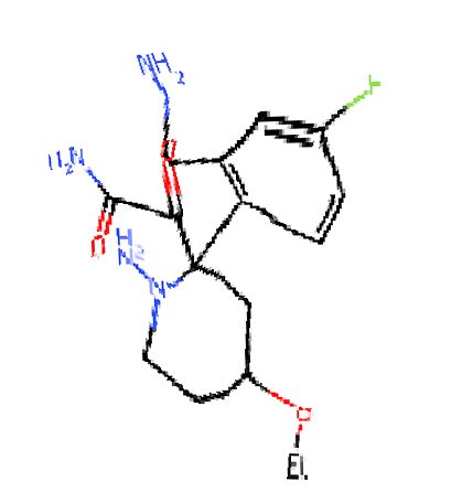 CCOC1CCN(N)C(C(=O)C(N)=O)(c2ccc(F)cc2CN)C1